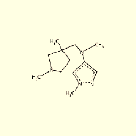 CN1CCC(C)(CN(C)c2cnn(C)c2)C1